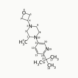 CC1CN(C2COC2)CCN1c1ccc(C(C)(C)C)nc1